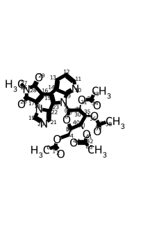 CC(=O)OC[C@H]1O[C@@H](n2c3ncccc3c3c4c(n5cncc5c32)C(=O)N(C)C4=O)[C@H](OC(C)=O)[C@@H](OC(C)=O)[C@@H]1OC(C)=O